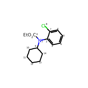 CCOC(=O)N(c1ccccc1Cl)C1CCCCC1